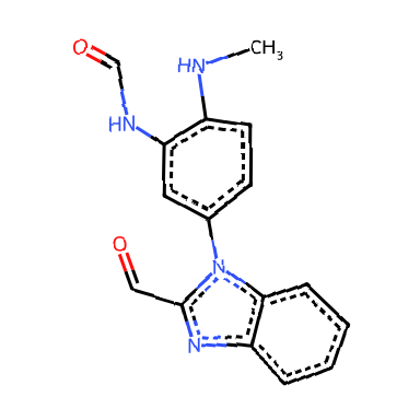 CNc1ccc(-n2c(C=O)nc3ccccc32)cc1NC=O